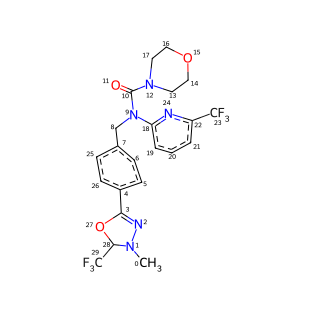 CN1N=C(c2ccc(CN(C(=O)N3CCOCC3)c3cccc(C(F)(F)F)n3)cc2)OC1C(F)(F)F